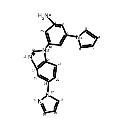 Nc1cc(-n2cccc2)cc(-n2cnc3cc(-n4cccn4)ccc32)c1